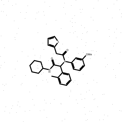 COc1cccc(N(C(=O)Cc2cccs2)C(C(=O)NC2CCCCC2)c2ccccc2C)c1